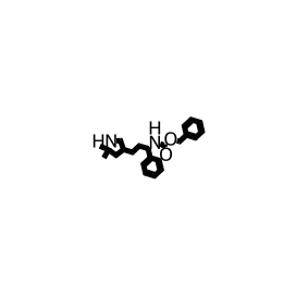 CC1(C)CC(CCC(NC(=O)OCc2ccccc2)c2ccccc2)CN1